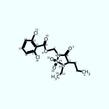 CCCC1C(=O)N(COC(=O)c2c(Cl)cccc2Cl)S(=O)(=O)N1CC